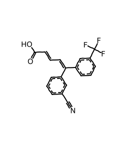 N#Cc1cccc(/C(=C\C=C\C(=O)O)c2cccc(C(F)(F)F)c2)c1